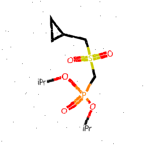 CC(C)OP(=O)(CS(=O)(=O)CC1CC1)OC(C)C